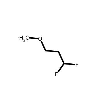 [CH2]OCCC(F)F